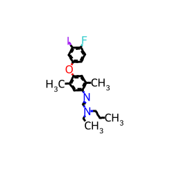 CCCN(C=Nc1cc(C)c(Oc2ccc(F)c(I)c2)cc1C)CC